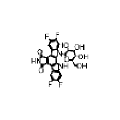 O=C1NC(=O)c2c1c1c3cc(F)c(F)cc3[nH]c1c1c2c2cc(F)c(F)cc2n1[C@@H]1O[C@H](CO)[C@@H](O)[C@H](O)[C@H]1O